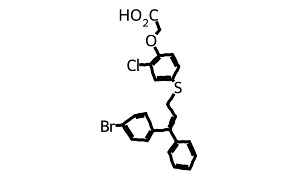 O=C(O)COc1ccc(SCC=C(c2ccccc2)c2ccc(Br)cc2)cc1Cl